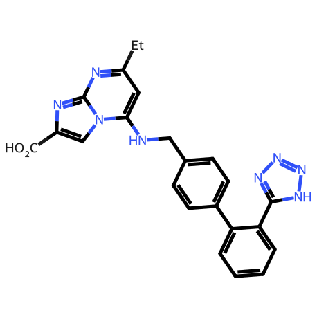 CCc1cc(NCc2ccc(-c3ccccc3-c3nnn[nH]3)cc2)n2cc(C(=O)O)nc2n1